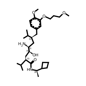 COCCCOc1cc(C[C@@H](C[C@H](N)[C@@H](O)C[C@H](C(=O)N[C@H](C)C2CCC2)C(C)C)C(C)C)ccc1OC